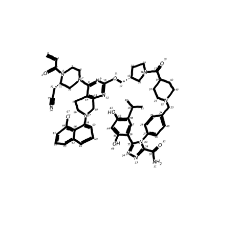 C=CC(=O)N1CCN(c2nc(OC[C@@H]3CCN(C(=O)C4CCN(Cc5ccc(-n6c(C(N)=O)nnc6-c6cc(C(C)C)c(O)cc6O)cc5)CC4)C3)nc3c2CCN(c2cccc4cccc(Cl)c24)C3)C[C@@H]1CC#N